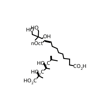 C=C(C)C(=O)O.C=C(C)C(=O)O.C=C(C)C(=O)O.CC(CO)(CO)CO.CCCCCCCC/C=C\CCCCCCCC(=O)O